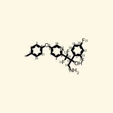 Cc1ccc(Oc2ccc(C(F)(F)C(O)(CN)c3ccc(F)cc3F)nc2)cc1